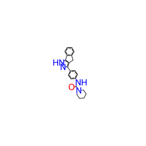 O=C(Nc1ccc(-c2n[nH]c3c2Cc2ccccc2-3)cc1)N1CCCCC1